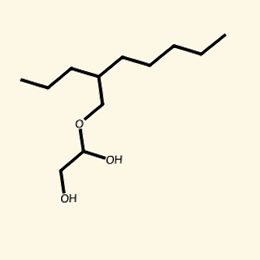 CCCCCC(CCC)COC(O)CO